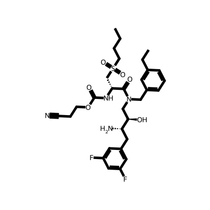 CCCCS(=O)(=O)C[C@@H](NC(=O)OCCC#N)C(=O)N(Cc1cccc(CC)c1)C[C@@H](O)[C@@H](N)Cc1cc(F)cc(F)c1